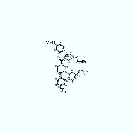 COc1ccc([C@@H]2CN(CCC(C)C)C[C@H]2C(=O)N2CCC(c3ccc(C(F)(F)F)cc3N3CCC(C(=O)O)CC3)CC2)cc1